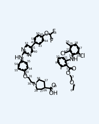 CCOCOC(=O)c1ccccc1Nc1c(Cl)ccc(C)c1Cl.O=C(O)C1CCN(CCOc2ccc(Nc3ncc(-c4ccc(OC(F)F)cc4)cn3)cc2)CC1